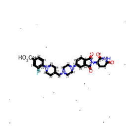 O=C1CCC(N2C(=O)c3ccc(N4CCN(CC5CCN(c6ccc(C(=O)O)cc6F)CC5)CC4)cc3C2=O)C(=O)N1